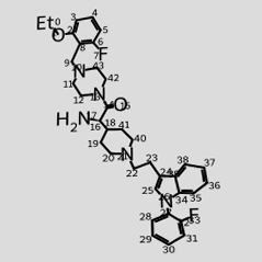 CCOc1cccc(F)c1CN1CCN(C(=O)[C@H](N)C2CCN(CCc3cn(-c4ccccc4F)c4ccccc34)CC2)CC1